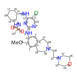 COc1cc2c(cc1Nc1ncc(Cl)c(N[C@@H]3CCCC[C@H]3NS(C)(=O)=O)n1)CCN(CCN1CCOCC1)CC2